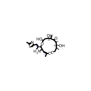 C/C1=C/C(N)[C@@H](/C(C)=C/c2csc(C)n2)O[C@H](O)C[C@H](O)C(C)C(=O)[C@H](C)[C@@H](O)[C@@H](C)CCC1